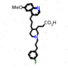 COc1ccc2nccc(CCCC3CCN(CCCc4cccc(F)c4)CC3CCC(=O)O)c2c1